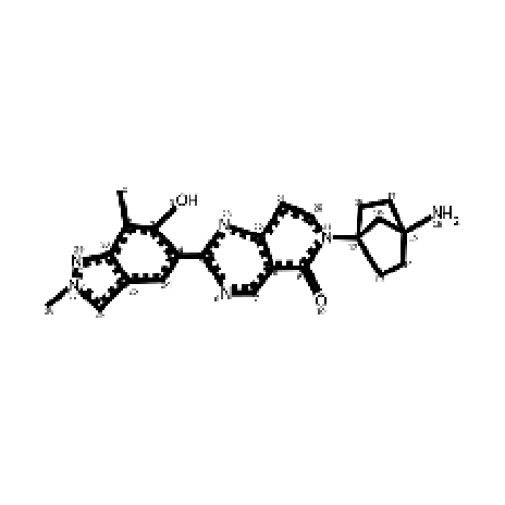 Cc1c(O)c(-c2ncc3c(=O)n(C45CCC(N)(CC4)C5)ccc3n2)cc2cn(C)nc12